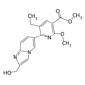 CCc1cc(C(=O)OC)c(OC)nc1-c1ccc2nc(CO)cn2c1